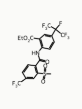 CCOC(=O)c1cc(C(F)(C(F)(F)F)C(F)(F)F)ccc1NC(=O)c1ccc(C(F)(F)F)cc1S(C)(=O)=O